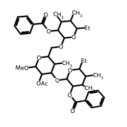 CCC1OC(OCC2OC(OC)C(OC(C)=O)C(OC3OC(CC)C(C)C(C)C3OC(=O)c3ccccc3)C2C)C(OC(=O)c2ccccc2)C(C)C1C